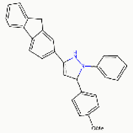 COc1ccc(C2C=C(c3ccc4c(c3)Cc3ccccc3-4)NN2c2ccccc2)cc1